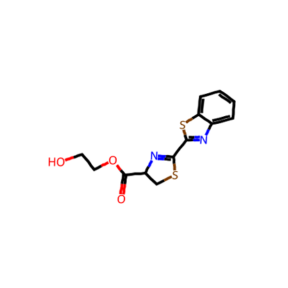 O=C(OCCO)C1CSC(c2nc3ccccc3s2)=N1